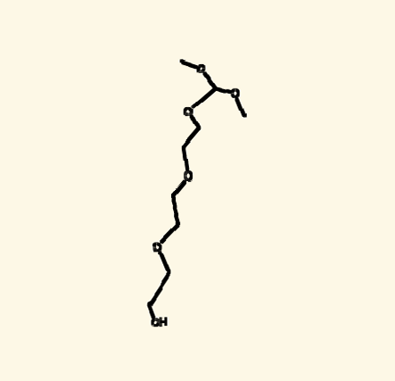 COC(OC)OCCOCCOCCO